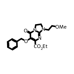 CCOC(=O)c1nc2n(c(=O)c1OCc1ccccc1)CCN2CCOC